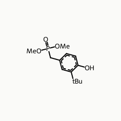 COP(=O)(Cc1ccc(O)c(C(C)(C)C)c1)OC